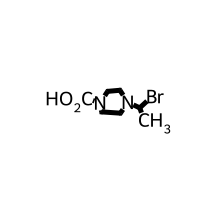 CC(Br)N1CCN(C(=O)O)CC1